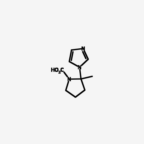 CC1(n2ccnc2)CCCN1C(=O)O